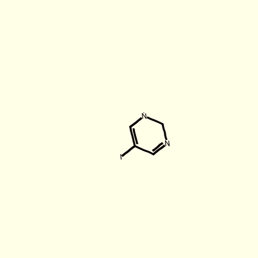 IC1=C[N]CN=C1